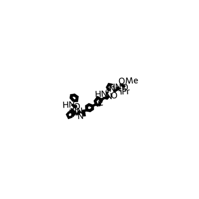 COC(=O)N[C@H](C(=O)N1CCC[C@H]1c1ncc(-c2ccc(-c3ccc(-c4cnc([C@H]5C6CCC(C6)[C@H]5C(=O)Nc5ccccc5)[nH]4)cc3)cc2)[nH]1)C(C)C